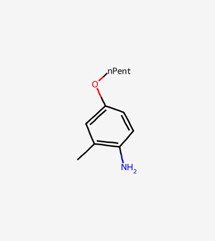 CCCCCOc1ccc(N)c(C)c1